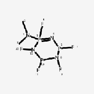 CN(C)P1(F)=NP(F)N(F)P(F)N1F